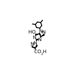 CC1CC(C)CC(n2ncc3nc(-n4cc(C(=O)O)cn4)nc(O)c32)C1